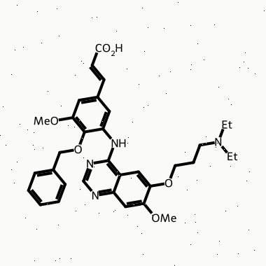 CCN(CC)CCCOc1cc2c(Nc3cc(/C=C/C(=O)O)cc(OC)c3OCc3ccccc3)ncnc2cc1OC